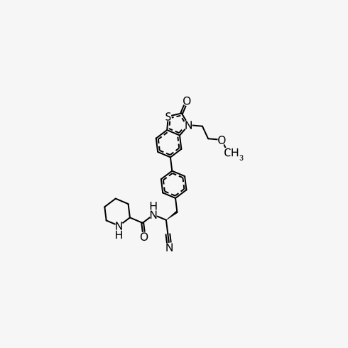 COCCn1c(=O)sc2ccc(-c3ccc(C[C@@H](C#N)NC(=O)C4CCCCN4)cc3)cc21